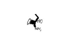 CCC(N)=O.[OH]